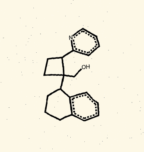 OCC1(C2CCCc3ccccc32)CCC1c1ccccn1